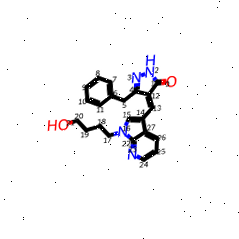 O=C1NN=C(Cc2ccccc2)C1=Cc1cn(CCCCO)c2ncccc12